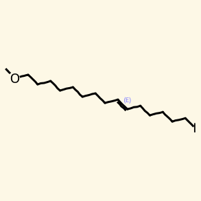 COCCCCCCCC/C=C/CCCCCI